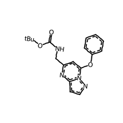 CC(C)(C)OC(=O)NCc1cc(Oc2ccccc2)n2nccc2n1